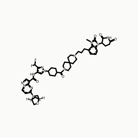 Cn1c(=O)n(C2CCC(=O)NC2=O)c2cccc(CCCN3CCC4(CC3)CCN(C(=O)C3CCC(n5cc(NC(=O)c6cnn7ccc(N8C[C@H]9C[C@@H]8CO9)nc67)c(C(F)F)n5)CC3)CC4)c21